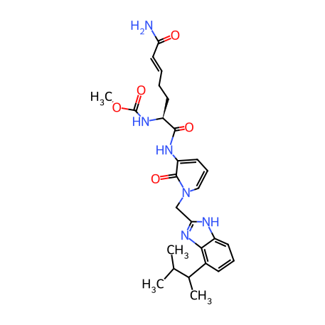 COC(=O)N[C@@H](CC/C=C/C(N)=O)C(=O)Nc1cccn(Cc2nc3c(C(C)C(C)C)cccc3[nH]2)c1=O